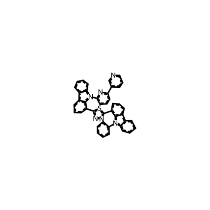 c1ccc(-n2c3ccccc3c3cccc(-c4nnc(-c5cccc6c7ccccc7n(-c7cccc(-c8cccnc8)n7)c56)s4)c32)cc1